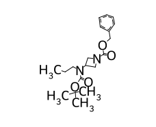 CCCN(C(=O)OC(C)(C)C)C1CN(C(=O)OCc2ccccc2)C1